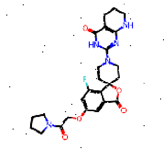 O=C1OC2(CCN(c3nc4c(c(=O)[nH]3)CCCN4)CC2)c2c(F)cc(OCC(=O)N3CCCC3)cc21